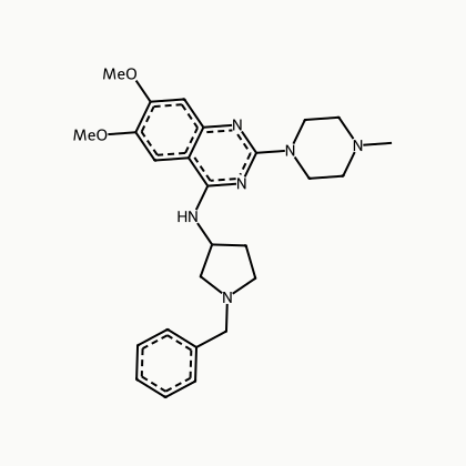 COc1cc2nc(N3CCN(C)CC3)nc(NC3CCN(Cc4ccccc4)C3)c2cc1OC